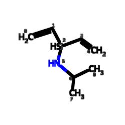 C=C[SiH](C=C)NC(C)C